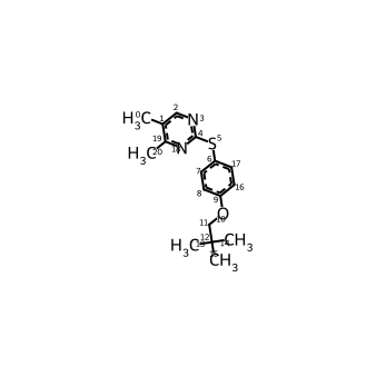 Cc1cnc(Sc2ccc(OCC(C)(C)C)cc2)nc1C